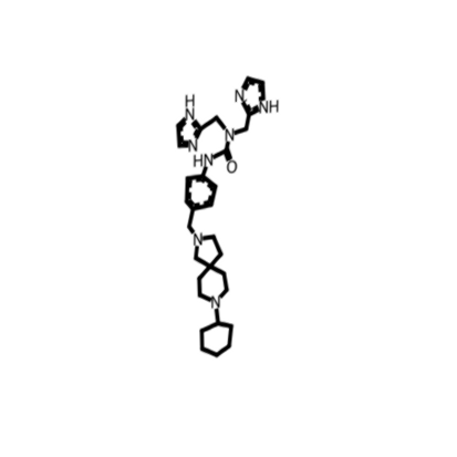 O=C(Nc1ccc(CN2CCC3(CCN(C4CCCCC4)CC3)C2)cc1)N(Cc1ncc[nH]1)Cc1ncc[nH]1